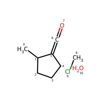 CC1CCCC1=C=O.CCl.O